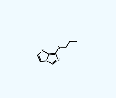 CCCSc1ncn2ccsc12